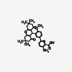 COc1ccc(-c2ccc(N)c(C(=O)O)n2)cc1C1C2=C(CC(C)(C)CC2=O)OC2=C1C(=O)CC(C)(C)C2